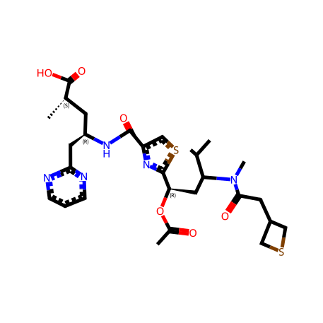 CC(=O)O[C@H](CC(C(C)C)N(C)C(=O)CC1CSC1)c1nc(C(=O)N[C@@H](Cc2ncccn2)C[C@H](C)C(=O)O)cs1